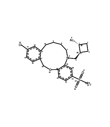 CC(=O)[C@@H]1CC[C@H]1CN1CCCCc2cc(Cl)ccc2COc2ccc(S(N)(=O)=O)cc21